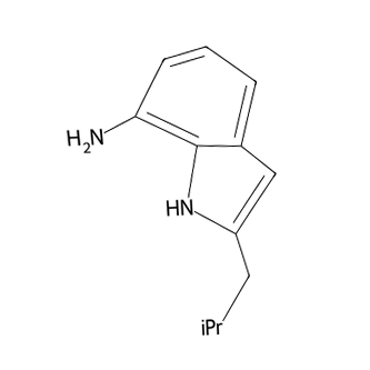 CC(C)Cc1cc2cccc(N)c2[nH]1